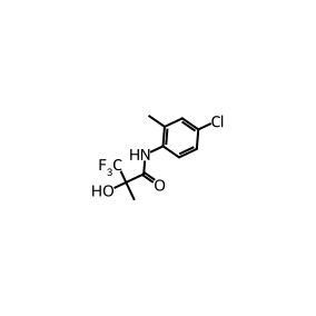 Cc1cc(Cl)ccc1NC(=O)C(C)(O)C(F)(F)F